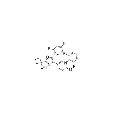 O=c1ccc(-c2nc(C3(O)CCC3)oc2-c2ccc(F)cc2F)cn1-c1c(F)cccc1F